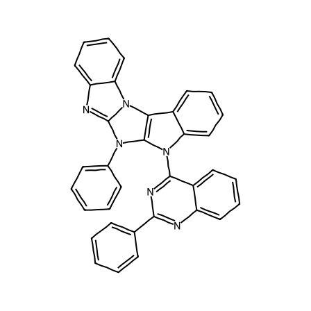 c1ccc(-c2nc(-n3c4ccccc4c4c3n(-c3ccccc3)c3nc5ccccc5n43)c3ccccc3n2)cc1